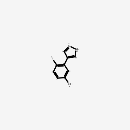 Oc1ccc(F)c(-c2cn[nH]c2)c1